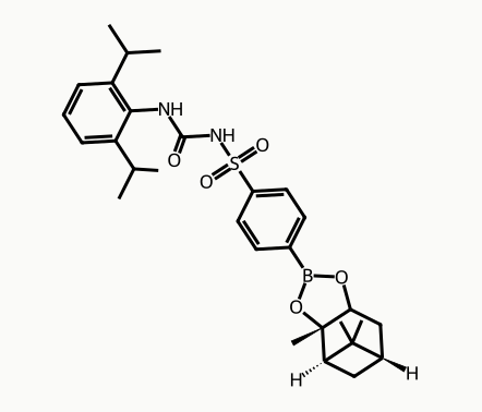 CC(C)c1cccc(C(C)C)c1NC(=O)NS(=O)(=O)c1ccc(B2OC3C[C@@H]4C[C@H](C4(C)C)[C@]3(C)O2)cc1